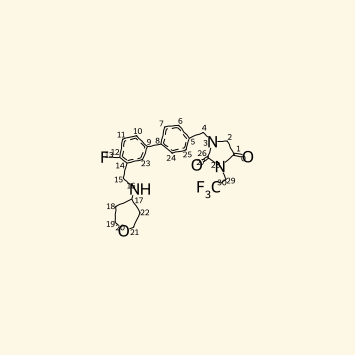 O=C1CN(Cc2ccc(-c3ccc(F)c(CNC4CCOCC4)c3)cc2)C(=O)N1CC(F)(F)F